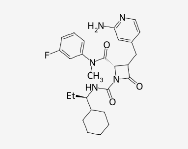 CC[C@@H](NC(=O)N1C(=O)C(Cc2ccnc(N)c2)[C@H]1C(=O)N(C)c1cccc(F)c1)C1CCCCC1